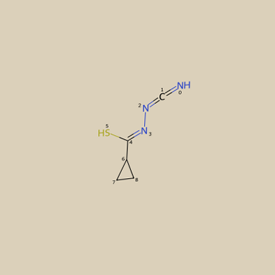 N=C=N/N=C(\S)C1CC1